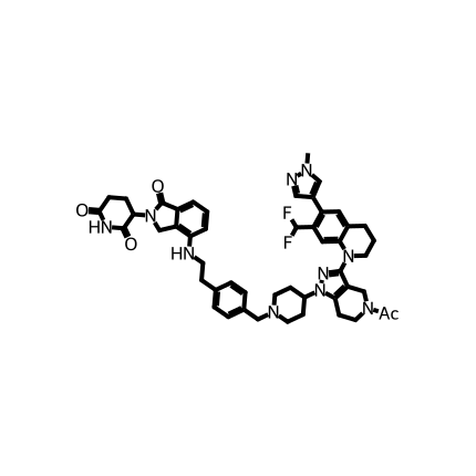 CC(=O)N1CCc2c(c(N3CCCc4cc(-c5cnn(C)c5)c(C(F)F)cc43)nn2C2CCN(Cc3ccc(CCNc4cccc5c4CN(C4CCC(=O)NC4=O)C5=O)cc3)CC2)C1